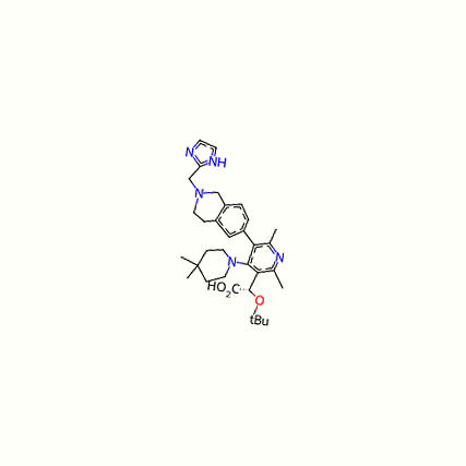 Cc1nc(C)c([C@H](OC(C)(C)C)C(=O)O)c(N2CCC(C)(C)CC2)c1-c1ccc2c(c1)CCN(Cc1ncc[nH]1)C2